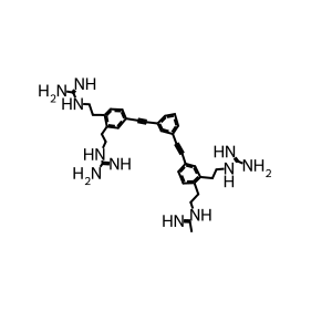 CC(=N)NCCc1ccc(C#Cc2cccc(C#Cc3ccc(CCNC(=N)N)c(CCNC(=N)N)c3)c2)cc1CCNC(=N)N